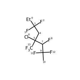 CCC(F)(F)CC(Cl)(C(F)C(C)(F)F)C(F)(F)F